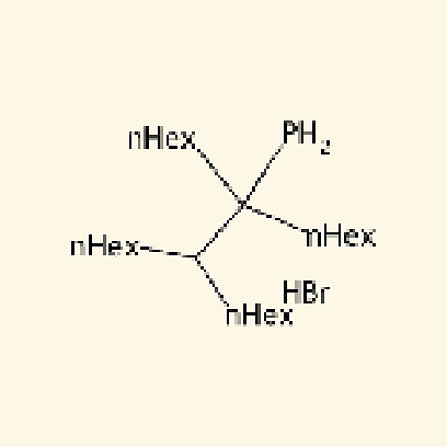 Br.CCCCCCC(CCCCCC)C(P)(CCCCCC)CCCCCC